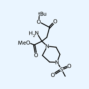 COC(=O)C(N)(CC(=O)OC(C)(C)C)N1CCN(S(C)(=O)=O)CC1